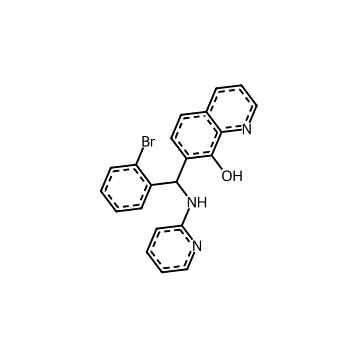 Oc1c(C(Nc2ccccn2)c2ccccc2Br)ccc2cccnc12